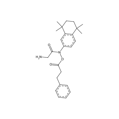 CC1(C)CCC(C)(C)c2cc(N(OC(=O)CCc3ccccc3)C(=O)CN)ccc21